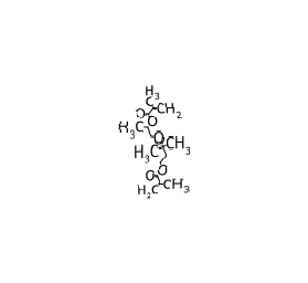 C=C(C)C(=O)OCCC(C)(C)OCC(C)OC(=O)C(=C)C